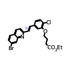 CCOC(=O)CCCOc1cc(/C=C/c2ccc3ccc(Br)cc3n2)ccc1Cl